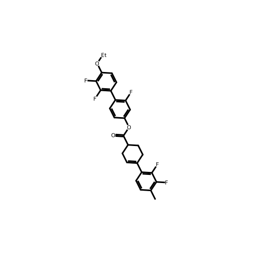 CCOc1ccc(-c2ccc(OC(=O)C3CC=C(c4ccc(C)c(F)c4F)CC3)cc2F)c(F)c1F